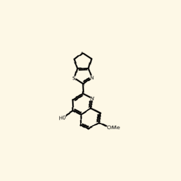 COc1ccc2c(O)cc(-c3nc4c(s3)CCC4)nc2c1